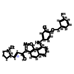 CCN1CCC[C@@H]1/C=C/C(=O)Nc1ccc2ncnc(Nc3ccc(OCc4cccc(F)c4)c(Cl)c3)c2c1OC